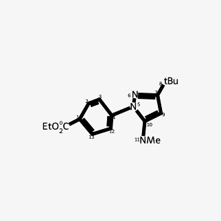 CCOC(=O)c1ccc(-n2nc(C(C)(C)C)cc2NC)cc1